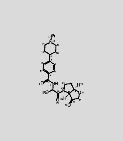 CCC(C)C(NC(=O)c1ccc(C2CCN(C(C)C)CC2)cc1)C(=O)N1CC[C@H]2OCC(=O)[C@H]21